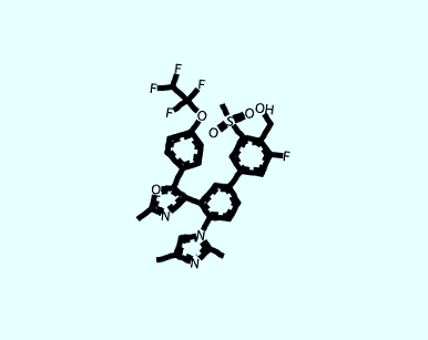 Cc1cn(-c2ccc(-c3cc(F)c(CO)c(S(C)(=O)=O)c3)cc2-c2nc(C)oc2-c2ccc(OC(F)(F)C(F)F)cc2)c(C)n1